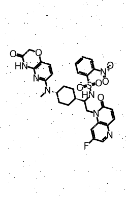 CN(c1ccc2c(n1)NC(=O)CO2)[C@H]1CC[C@H](C(Cn2c(=O)ccc3ncc(F)cc32)NS(=O)(=O)c2ccccc2[N+](=O)[O-])CC1